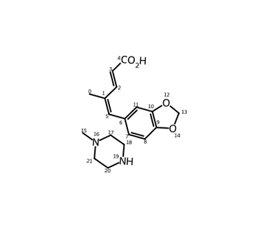 CC(C=CC(=O)O)=Cc1ccc2c(c1)OCO2.CN1CCNCC1